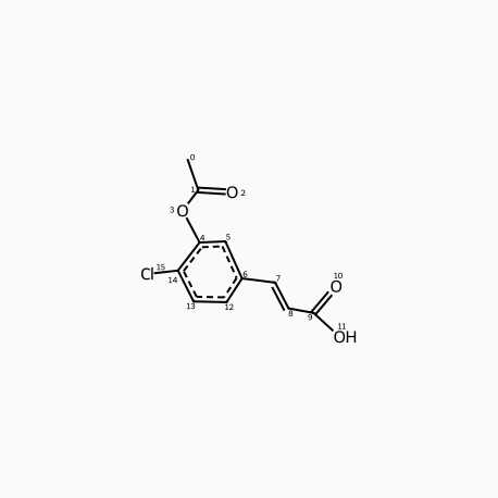 CC(=O)Oc1cc(C=CC(=O)O)ccc1Cl